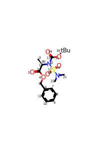 C[C@H](C(=O)OCc1ccccc1)N(C(=O)OC(C)(C)C)S(=O)(=O)N(C)C